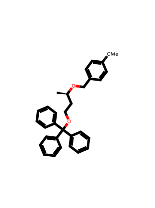 COc1ccc(CO[C@H](C)CCOC(c2ccccc2)(c2ccccc2)c2ccccc2)cc1